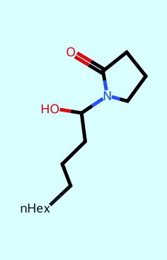 CCCCCCCCCC(O)N1CCCC1=O